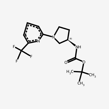 CC(C)(C)OC(=O)N[C@@H]1CCN(c2cccc(C(F)(F)F)n2)C1